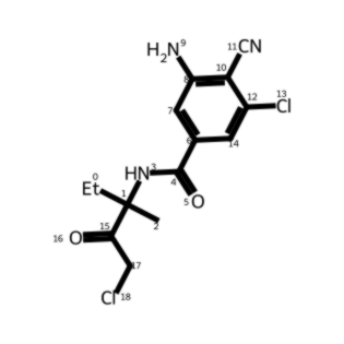 CCC(C)(NC(=O)c1cc(N)c(C#N)c(Cl)c1)C(=O)CCl